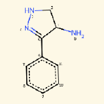 NC1CNN=C1c1ccccc1